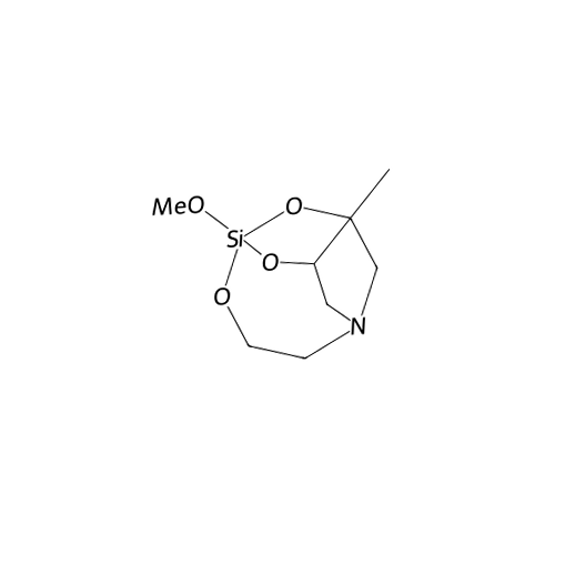 CO[Si]12OCCN(CCO1)CC(C)O2